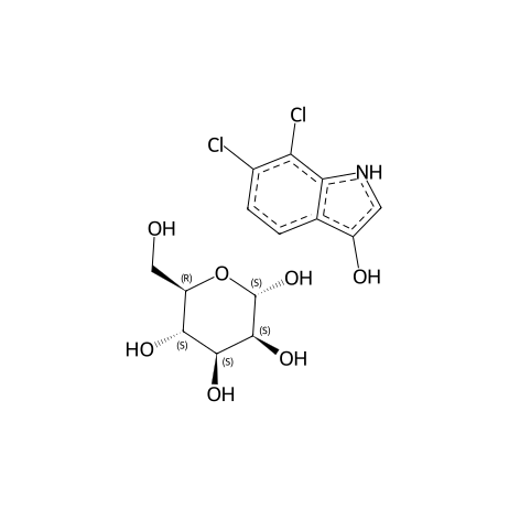 OC[C@H]1O[C@H](O)[C@@H](O)[C@@H](O)[C@@H]1O.Oc1c[nH]c2c(Cl)c(Cl)ccc12